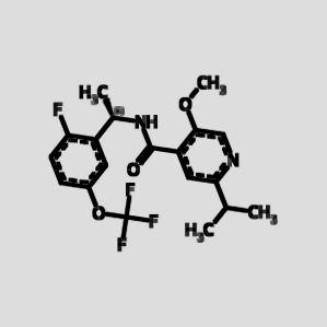 COc1cnc(C(C)C)cc1C(=O)N[C@H](C)c1cc(OC(F)(F)F)ccc1F